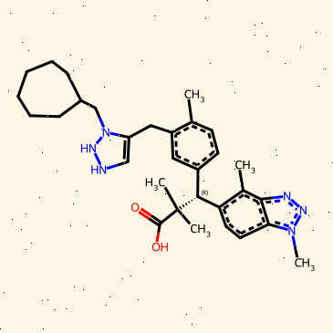 Cc1ccc([C@H](c2ccc3c(nnn3C)c2C)C(C)(C)C(=O)O)cc1CC1=CNNN1CC1CCCCCC1